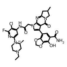 CCN1CCN(c2cc(NC(=O)Cn3cc(-c4cc(C(N)=O)c(O)c5c4OCO5)c4c(=O)n5c(nc43)CC(C)C5)c(Cl)c(F)n2)[C@@H](C)C1